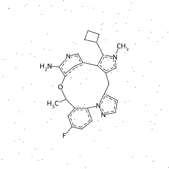 CC1Oc2cc(cnc2N)-c2c(cn(C)c2C2CCC2)Cc2ccnn2-c2ccc(F)cc21